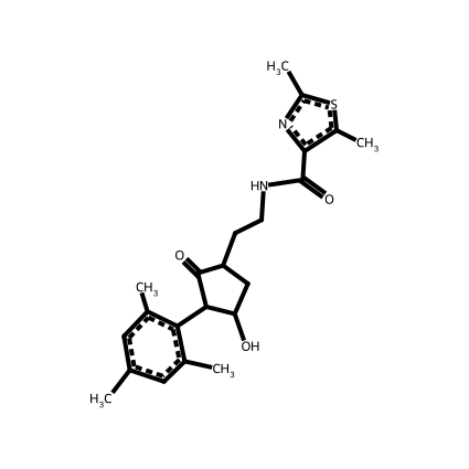 Cc1cc(C)c(C2C(=O)C(CCNC(=O)c3nc(C)sc3C)CC2O)c(C)c1